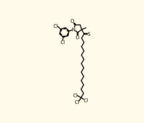 CC1(C(=S)CCCCCCCCCCCCCCC(Cl)(Cl)Cl)CC(=O)N(c2cc(Cl)cc(Cl)c2)C1=O